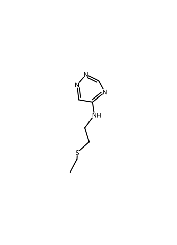 CCSCCNc1cnncn1